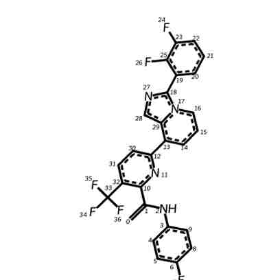 C=C(Nc1ccc(F)cc1)c1nc(-c2cccn3c(-c4cccc(F)c4F)ncc23)ccc1C(F)(F)F